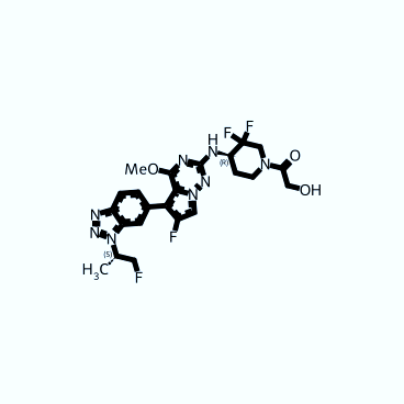 COc1nc(N[C@@H]2CCN(C(=O)CO)CC2(F)F)nn2cc(F)c(-c3ccc4nnn([C@@H](C)CF)c4c3)c12